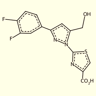 O=C(O)c1csc(-n2nc(-c3ccc(F)c(F)c3)cc2CO)n1